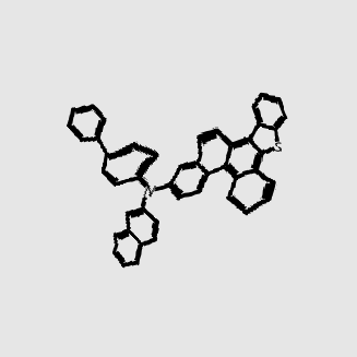 c1ccc(-c2ccc(N(c3ccc4ccccc4c3)c3ccc4c(ccc5c4c4ccccc4c4sc6ccccc6c54)c3)cc2)cc1